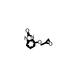 O=C1N=c2cccc(OCC3CO3)c2=N1